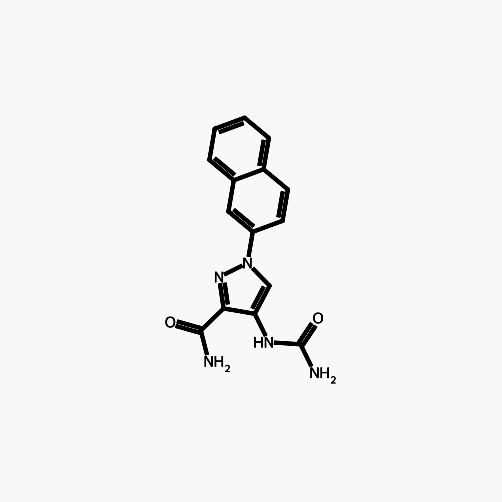 NC(=O)Nc1cn(-c2ccc3ccccc3c2)nc1C(N)=O